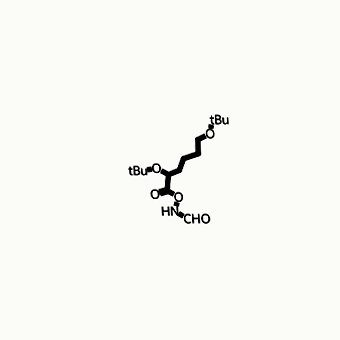 CC(C)(C)OCCCCC(OC(C)(C)C)C(=O)ONC=O